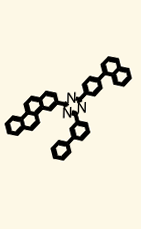 c1ccc(-c2cccc(-c3nc(-c4ccc(-c5cccc6ccccc56)cc4)nc(-c4ccc5ccc6c7ccccc7ccc6c5c4)n3)c2)cc1